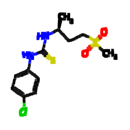 C[C@@H](CCS(C)(=O)=O)NC(=S)Nc1ccc(Cl)cc1